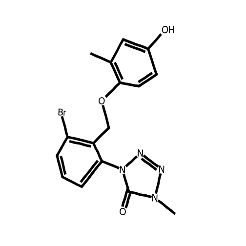 Cc1cc(O)ccc1OCc1c(Br)cccc1-n1nnn(C)c1=O